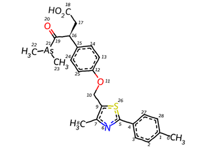 Cc1ccc(-c2nc(C)c(COc3ccc([C@H](CC(=O)O)C(=O)[As](C)C)cc3)s2)cc1